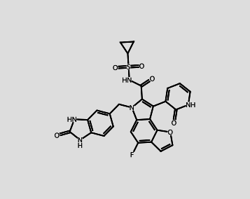 O=C(NS(=O)(=O)C1CC1)c1c(-c2ccc[nH]c2=O)c2c3occc3c(F)cc2n1Cc1ccc2[nH]c(=O)[nH]c2c1